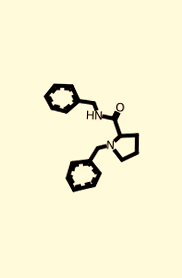 O=C(NCc1ccccc1)C1CCCN1Cc1ccccc1